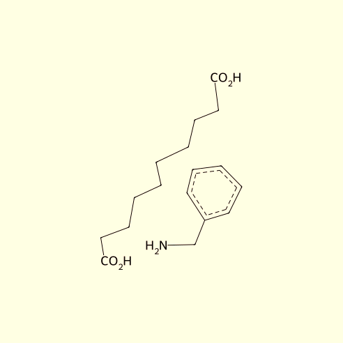 NCc1ccccc1.O=C(O)CCCCCCCCC(=O)O